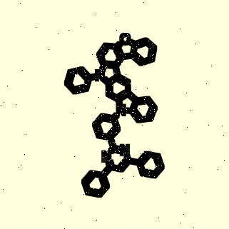 c1ccc(-c2cc(-c3ccccc3)nc(-c3cccc(-n4c5ccccc5c5cc6c7c8c(ccc7n(-c7ccccc7)c6cc54)oc4ccccc48)c3)n2)cc1